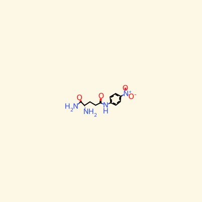 NC(=O)[C@@H](N)CCC(=O)Nc1ccc([N+](=O)[O-])cc1